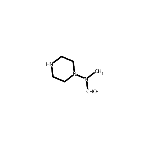 CN([C]=O)N1CCNCC1